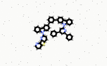 c1ccc(-c2cc(-c3ccccc3)nc(-n3c4ccccc4c4ccc(-c5cccc(-c6ccc7c(c6)c6ccccc6n7-c6ccc7sc8cccnc8c7n6)c5)cc43)c2)cc1